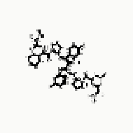 CCC[C@H](NC(=O)[C@H](C)NC)C(=O)N1CCC[C@H]1Cn1c(-c2[nH]c3cc(F)ccc3c2C[C@@H]2CCCN2C(=O)[C@@H](NC(=O)[C@H](C)NC)C2CCCCC2)nc2cc(F)ccc21